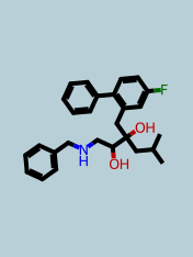 CC(C)CC(O)(Cc1cc(F)ccc1-c1ccccc1)C(O)CNCc1ccccc1